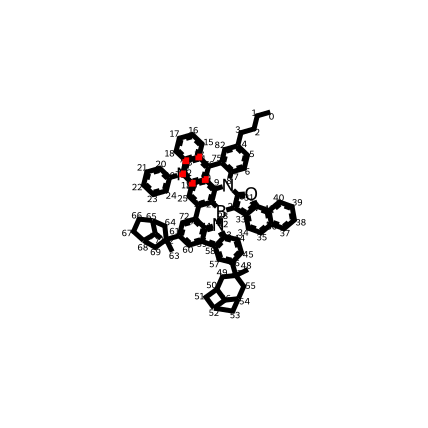 CCCCc1ccc(N2c3cc(N(c4ccccc4)c4ccccc4)cc4c3B(c3c2oc2c3ccc3ccccc32)n2c3ccc(C5(C)CC6CC7CC(C5)C76)cc3c3cc(C5(C)CC6CCC(C5)C6C)cc-4c32)c(-c2ccccc2)c1